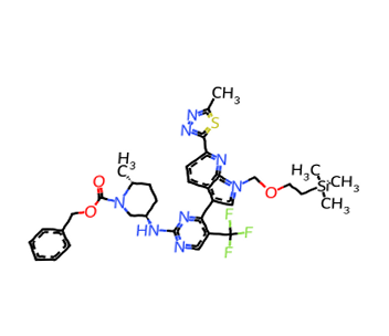 Cc1nnc(-c2ccc3c(-c4nc(N[C@@H]5CC[C@@H](C)N(C(=O)OCc6ccccc6)C5)ncc4C(F)(F)F)cn(COCC[Si](C)(C)C)c3n2)s1